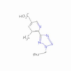 Cc1cc(C(=O)O)cnc1-c1nnn(CC(C)(C)C)n1